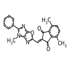 Cc1ccc(C)c2c1C(=O)C(=Cc1nc3c(nc(-c4ccccc4)n3C)o1)C2=O